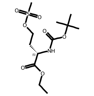 CCOC(=O)[C@H](CCOS(C)(=O)=O)NC(=O)OC(C)(C)C